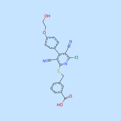 N#Cc1c(Cl)nc(SCc2cccc(C(=O)O)c2)c(C#N)c1-c1ccc(OCCO)cc1